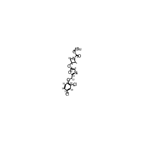 CC(C)(C)OC(=O)N1CC(Oc2cnc(COc3ccc(Cl)cc3Cl)o2)C1